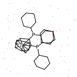 C1CCC(P(C2CCCCC2)[C]23[CH]4[CH]5[CH]6[C]2(P(C2CCCCC2)C2CCCCC2)[Ti]54632789[CH]3[CH]2[CH]7[CH]8[CH]39)CC1